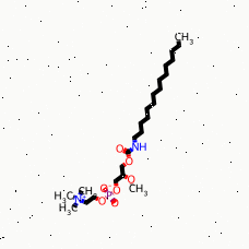 CCCCCCCCCCCCCCCNC(=O)OCC(COP(=O)([O-])OCC[N+](C)(C)C)OC